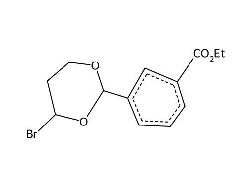 CCOC(=O)c1cccc(C2OCCC(Br)O2)c1